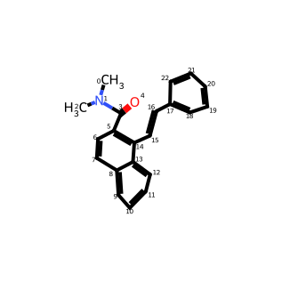 CN(C)C(=O)c1ccc2ccccc2c1C=Cc1ccccc1